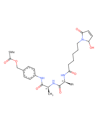 CSC(=O)OCc1ccc(NC(=O)[C@H](C)NC(=O)[C@@H](NC(=O)CCCCCN2C(=O)C=CC2O)C(C)C)cc1